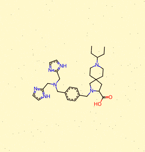 CCC(CC)N1CCC2(CC1)CC(C(=O)O)N(Cc1ccc(CN(Cc3ncc[nH]3)Cc3ncc[nH]3)cc1)C2